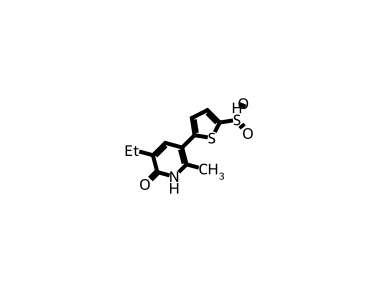 CCc1cc(-c2ccc([SH](=O)=O)s2)c(C)[nH]c1=O